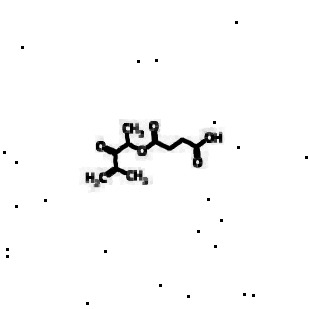 C=C(C)C(=O)C(C)OC(=O)CCC(=O)O